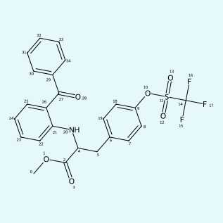 COC(=O)C(Cc1ccc(OS(=O)(=O)C(F)(F)F)cc1)Nc1ccccc1C(=O)c1ccccc1